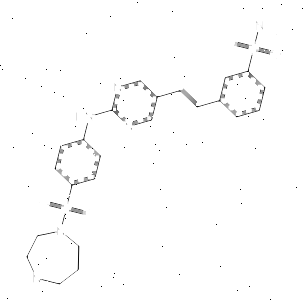 NS(=O)(=O)c1cccc(C=Cc2cnc(Nc3ccc(S(=O)(=O)N4CCCNCC4)cc3)nc2)c1